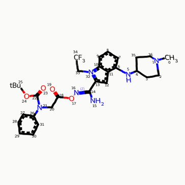 CN1CCC(Nc2cccc3c2cc(/C(N)=N/OC(=O)CN(C(=O)OC(C)(C)C)c2ccccc2)n3CC(F)(F)F)CC1